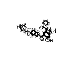 O=C(c1cc2c(C(=O)N3CCCCC3)n[nH]c2cc1O)N1Cc2ccc(OCCN3CCNCC3)cc2C1